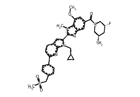 COc1cc(C(=O)N2C[C@H](N)C[C@@H](F)C2)cc2nc(-c3cc4ccc(-c5ccc(CS(C)(=O)=O)cc5)nc4n3CC3CC3)n(C)c12